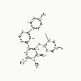 CC(=O)c1ccc(-c2cccc(-c3cc(C(F)(F)F)c(C#N)c(=O)n3Cc3ccc(C)cc3C)c2)cc1